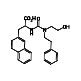 O=C(O)C(Cc1ccc2ccccc2c1)NC(=O)N(CCO)CCc1ccccc1